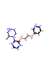 CC1CNCCN1c1nccnc1OCCOc1cccnc1